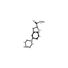 COC(=O)C1Cc2cc(N3CCNCC3)ccc2O1